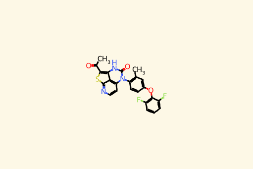 CC(=O)c1sc2nccc3c2c1NC(=O)N3c1ccc(Oc2c(F)cccc2F)cc1C